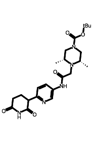 C[C@@H]1CN(C(=O)OC(C)(C)C)C[C@H](C)N1CC(=O)Nc1ccc(C2CCC(=O)NC2=O)nc1